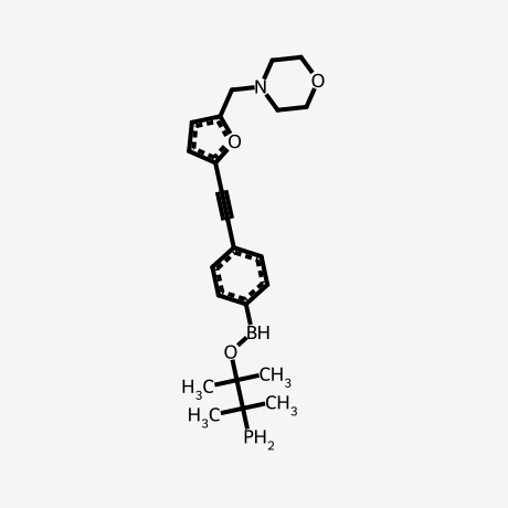 CC(C)(P)C(C)(C)OBc1ccc(C#Cc2ccc(CN3CCOCC3)o2)cc1